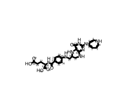 C1=CC=CNC=C1.Nc1nc2c(c(=O)[nH]1)NC(CNc1ccc(C(=O)NC(CCC(=O)O)C(=O)O)cc1)CN2